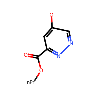 CCCOC(=O)c1cc([O])cnn1